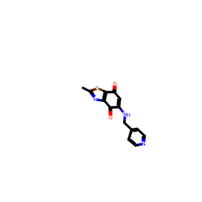 Cc1nc2c(s1)C(=O)C=C(NCc1ccncc1)C2=O